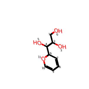 OCC(O)C(O)C1C=CC=CO1